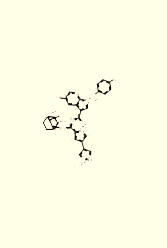 CCOC(=O)[C@@H]1C2CCC(CC2)[C@H]1Nc1nc(-c2cn(S(=O)(=O)c3ccc(C)cc3)c3ncc(F)cc23)nn2cc(-c3cnn(C)c3)cc12